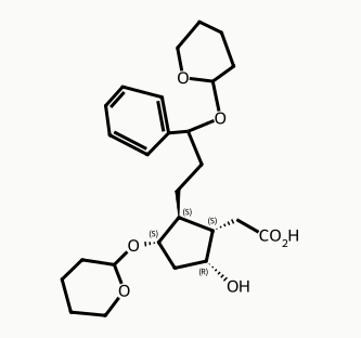 O=C(O)C[C@H]1[C@H](CCC(OC2CCCCO2)c2ccccc2)[C@@H](OC2CCCCO2)C[C@H]1O